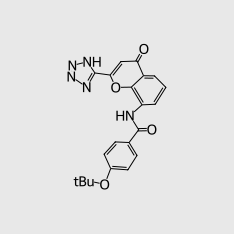 CC(C)(C)Oc1ccc(C(=O)Nc2cccc3c(=O)cc(-c4nnn[nH]4)oc23)cc1